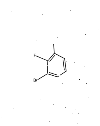 Cc1cccc(Br)c1F